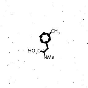 CN[C@H](Cc1cccc(C)c1)C(=O)O